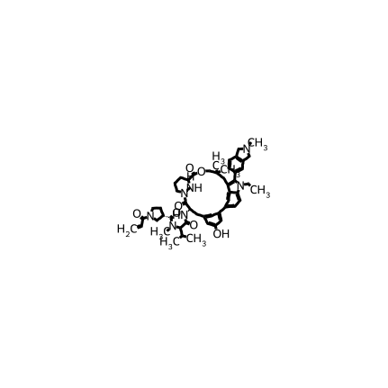 C=CC(=O)N1CC[C@H](C(=O)N(C)C(C(=O)N[C@H]2Cc3cc(O)cc(c3)-c3ccc4c(c3)c(c(-c3ccc5c(c3)CN(C)C5)n4CC)CC(C)(C)COC(=O)[C@@H]3CCCN(N3)C2=O)C(C)C)C1